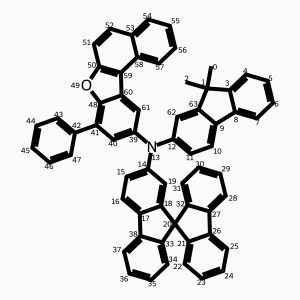 CC1(C)c2ccccc2-c2ccc(N(c3ccc4c(c3)C3(c5ccccc5-c5ccccc53)c3ccccc3-4)c3cc(-c4ccccc4)c4oc5ccc6ccccc6c5c4c3)cc21